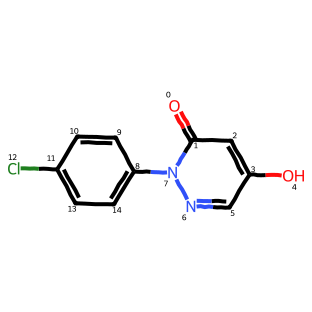 O=c1cc(O)cnn1-c1ccc(Cl)cc1